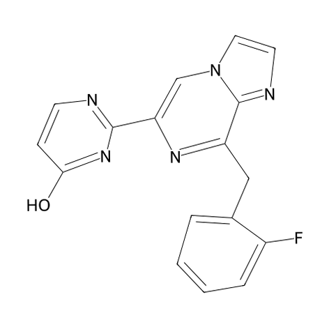 Oc1ccnc(-c2cn3ccnc3c(Cc3ccccc3F)n2)n1